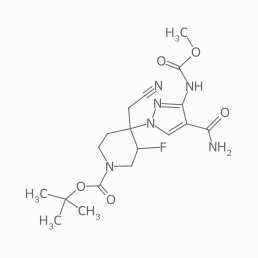 COC(=O)Nc1nn(C2(CC#N)CCN(C(=O)OC(C)(C)C)CC2F)cc1C(N)=O